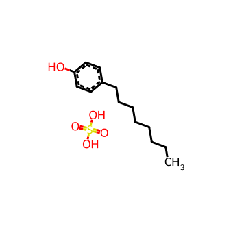 CCCCCCCCc1ccc(O)cc1.O=S(=O)(O)O